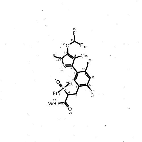 CCP(=O)(CC)C(Cc1cc(-c2nn(C)c(OC(F)F)c2Cl)c(F)cc1Cl)C(=O)OC